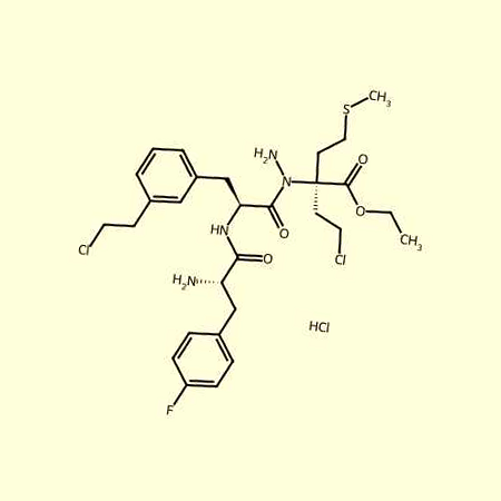 CCOC(=O)[C@](CCCl)(CCSC)N(N)C(=O)[C@H](Cc1cccc(CCCl)c1)NC(=O)[C@@H](N)Cc1ccc(F)cc1.Cl